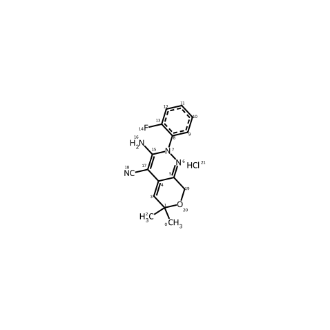 CC1(C)C=C2C(=NN(c3ccccc3F)C(N)=C2C#N)CO1.Cl